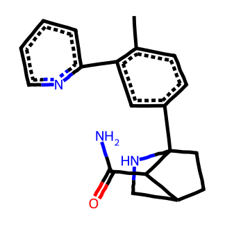 Cc1ccc(C23CCC(CN2)C3C(N)=O)cc1-c1ccccn1